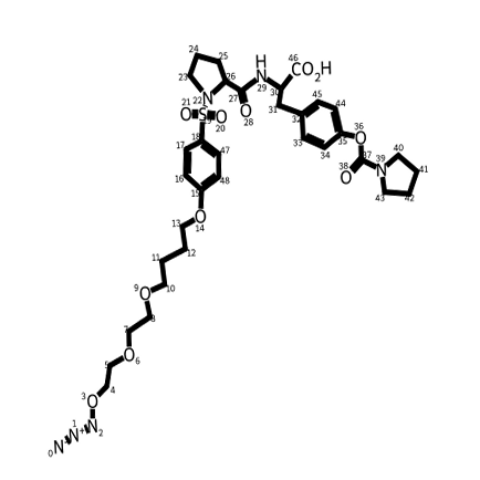 [N-]=[N+]=NOCCOCCOCCCCOc1ccc(S(=O)(=O)N2CCCC2C(=O)NC(Cc2ccc(OC(=O)N3CCCC3)cc2)C(=O)O)cc1